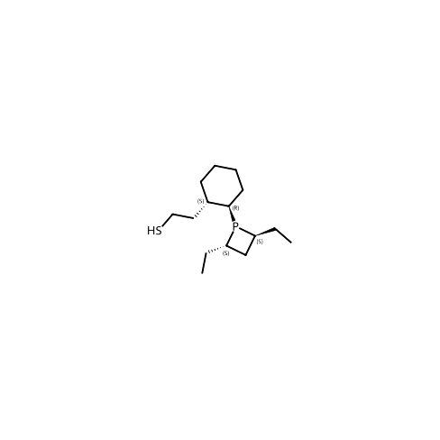 CC[C@H]1C[C@H](CC)P1[C@@H]1CCCC[C@H]1CCS